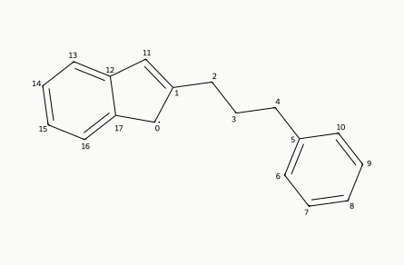 [CH]1C(CCCc2ccccc2)=Cc2ccccc21